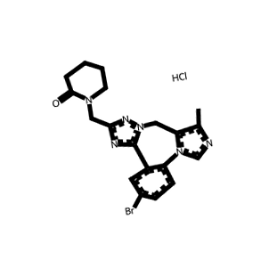 Cc1ncn2c1Cn1nc(CN3CCCCC3=O)nc1-c1cc(Br)ccc1-2.Cl